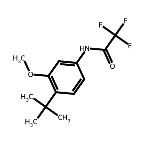 COc1cc(NC(=O)C(F)(F)F)ccc1C(C)(C)C